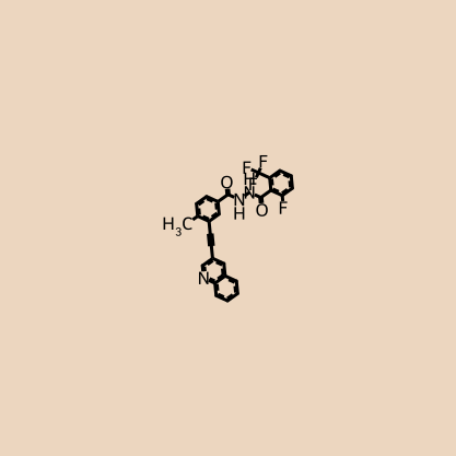 Cc1ccc(C(=O)NNC(=O)c2c(F)cccc2C(F)(F)F)cc1C#Cc1cnc2ccccc2c1